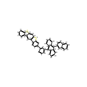 c1cc(-c2ccc3c(c2)sc2cc4sc5ccccc5c4cc23)cc(-c2c3ccccc3c(-c3ccc4ccccc4c3)c3ccccc23)c1